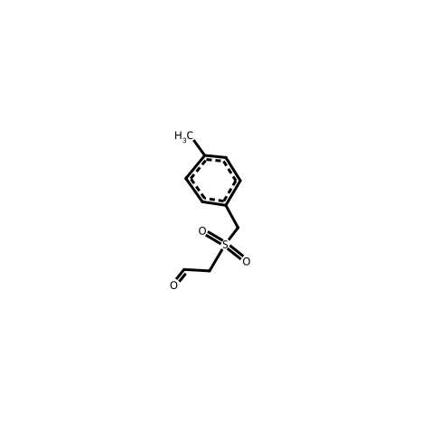 Cc1ccc(CS(=O)(=O)CC=O)cc1